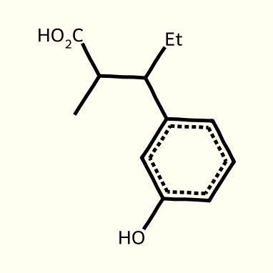 CCC(c1cccc(O)c1)C(C)C(=O)O